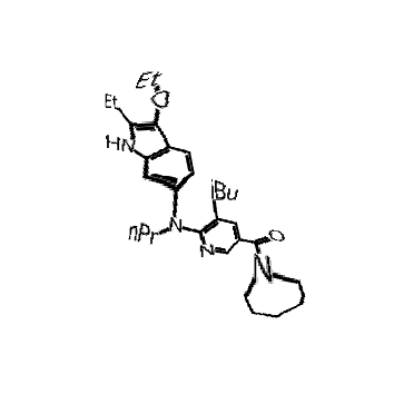 CCCN(c1ccc2c(OCC)c(CC)[nH]c2c1)c1ncc(C(=O)N2CCCCC2)cc1C(C)CC